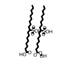 CCCCCCCCCC(CCCCCCCC(=O)O)S(=O)(=O)O.CCCCCCCCCC(CCCCCCCC(=O)OO)S(=O)(=O)O